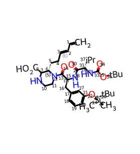 C=C/C=C/CC[C@H]1C(C(=O)O)NCCN1C(=O)[C@H](Cc1cccc(O[Si](C)(C)C(C)(C)C)c1)NC(=O)[C@@H](NC(=O)OC(C)(C)C)C(C)C